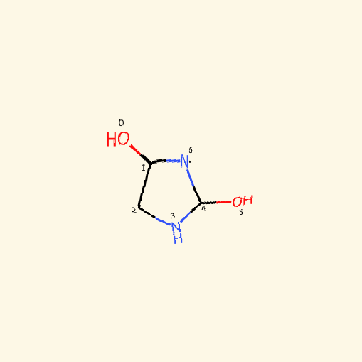 OC1CNC(O)[N]1